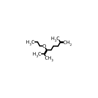 C=C(C)CCCC(OCCC)=C(C)C